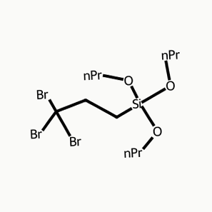 CCCO[Si](CCC(Br)(Br)Br)(OCCC)OCCC